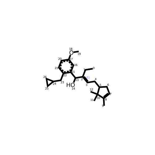 CC/C(=C\CC1CC=C(C)C1(C)C)C(O)c1cc(OC)ccc1CC1CC1